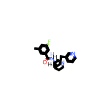 Cc1cc(F)cc(C(=O)N[C@@H]2C3CCN(CC3)[C@H]2Cc2cccnc2)c1